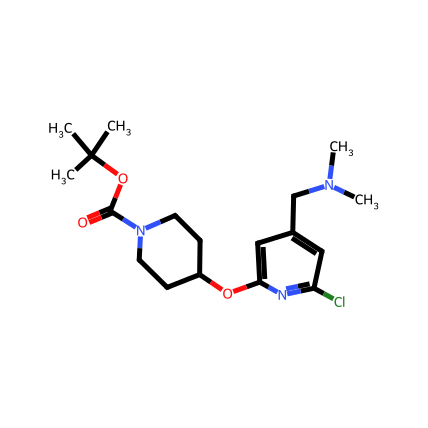 CN(C)Cc1cc(Cl)nc(OC2CCN(C(=O)OC(C)(C)C)CC2)c1